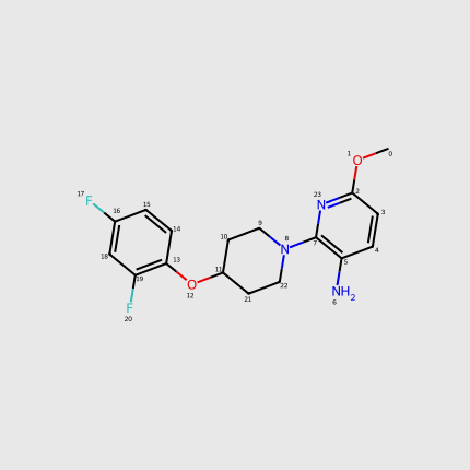 COc1ccc(N)c(N2CCC(Oc3ccc(F)cc3F)CC2)n1